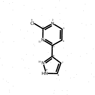 Clc1nccc(-c2cc[nH]n2)n1